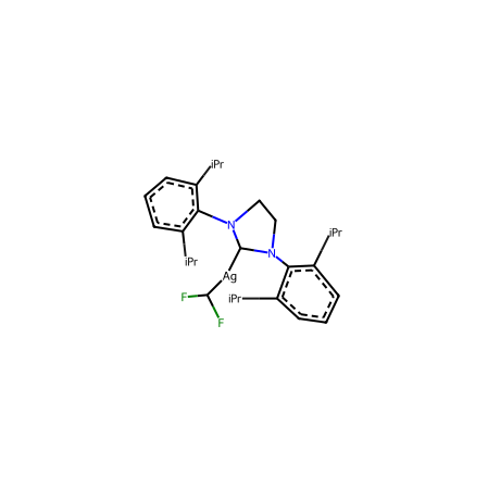 CC(C)c1cccc(C(C)C)c1N1CCN(c2c(C(C)C)cccc2C(C)C)[CH]1[Ag][CH](F)F